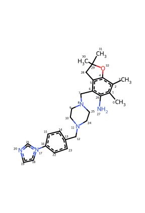 Cc1c(C)c2c(c(CN3CCN(Cc4ccc(-n5ccnc5)cc4)CC3)c1N)CC(C)(C)O2